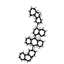 c1ccc2c(c1)ccc1ccc(-c3c4ccccc4c(-c4ccc(-c5ccc6oc7ccccc7c6c5)c5ccccc45)c4ccccc34)cc12